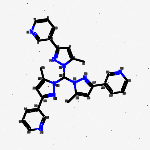 Cc1cc(-c2cccnc2)nn1C(n1nc(-c2cccnc2)cc1C)n1nc(-c2cccnc2)cc1C